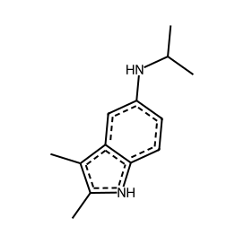 Cc1[nH]c2ccc(NC(C)C)cc2c1C